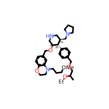 CCOC(C)COCc1ccc([C@H]2[C@H](CN3CCCC3)CNC[C@@H]2OCc2ccc3c(c2)N(CCCOC)CCO3)cc1